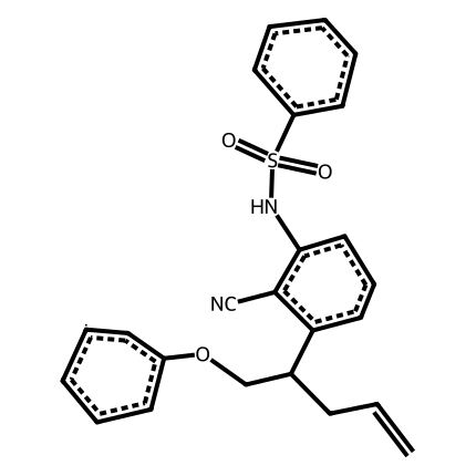 C=CCC(COc1c[c]ccc1)c1cccc(NS(=O)(=O)c2ccccc2)c1C#N